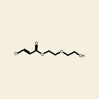 O=C(C=CCl)OCCOCCO